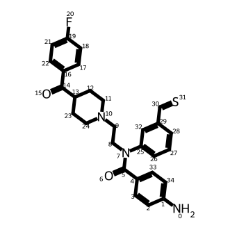 Nc1ccc(C(=O)N(CCN2CCC(C(=O)c3ccc(F)cc3)CC2)c2cccc(C=S)c2)cc1